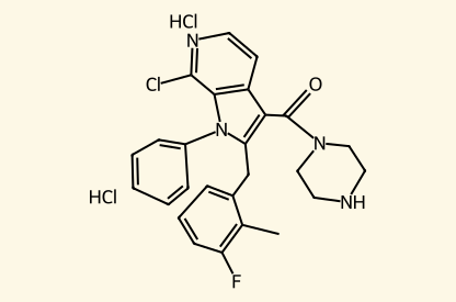 Cc1c(F)cccc1Cc1c(C(=O)N2CCNCC2)c2ccnc(Cl)c2n1-c1ccccc1.Cl.Cl